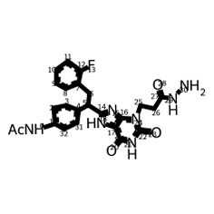 CC(=O)Nc1ccc(C(Cc2ccccc2F)c2nc3c([nH]2)c(=O)[nH]c(=O)n3CCC(=O)NN)cc1